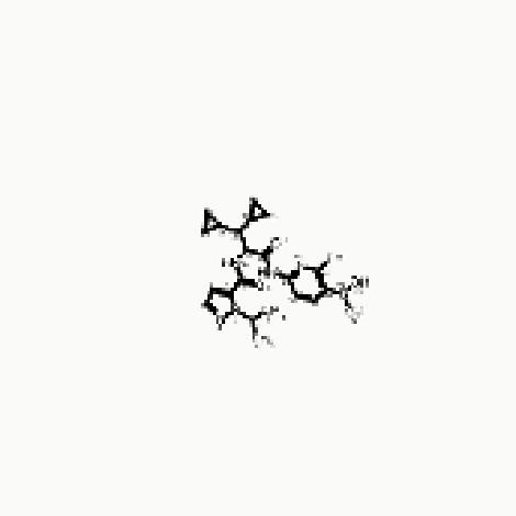 CC(C)n1nccc1C(=O)N[C@H](C(=O)Nc1ccc(B(O)O)c(F)n1)C(C1CC1)C1CC1